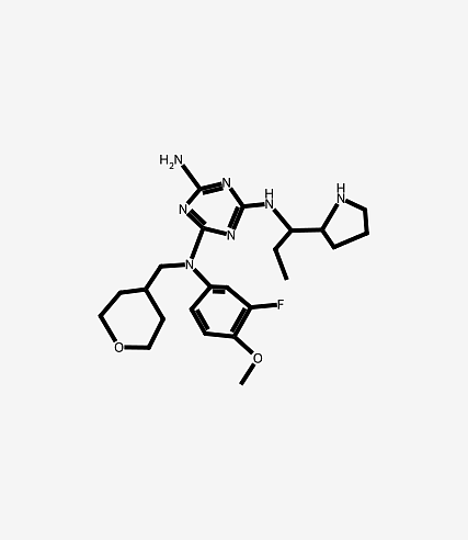 CCC(Nc1nc(N)nc(N(CC2CCOCC2)c2ccc(OC)c(F)c2)n1)C1CCCN1